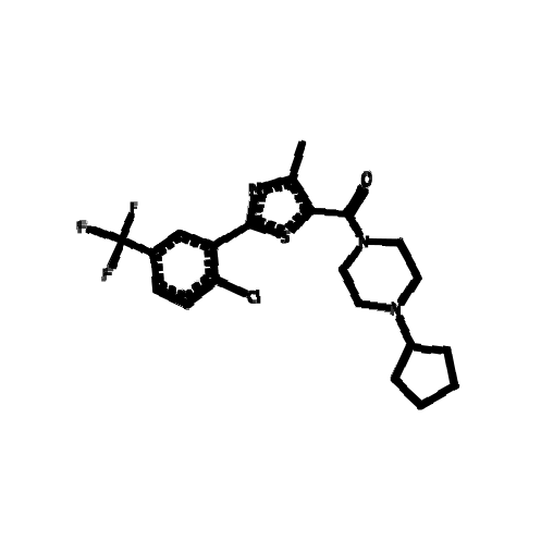 Cc1nc(-c2cc(C(F)(F)F)ccc2Cl)sc1C(=O)N1CCN(C2CCCC2)CC1